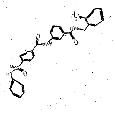 Nc1ccccc1CNC(=O)c1cccc(NC(=O)c2ccc(S(=O)(=O)Nc3ccccc3)cc2)c1